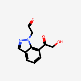 O=CCn1ncc2cccc(C(=O)CO)c21